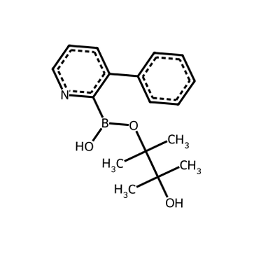 CC(C)(O)C(C)(C)OB(O)c1ncccc1-c1ccccc1